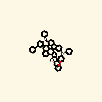 c1ccc(-c2ccc(N(c3ccccc3)c3ccc4c(c3)C3(c5cc(N(c6ccccc6)c6ccc(-c7ccccc7)cc6)ccc5-4)c4ccc5c(oc6ccccc65)c4-c4cccc5cccc3c45)cc2)cc1